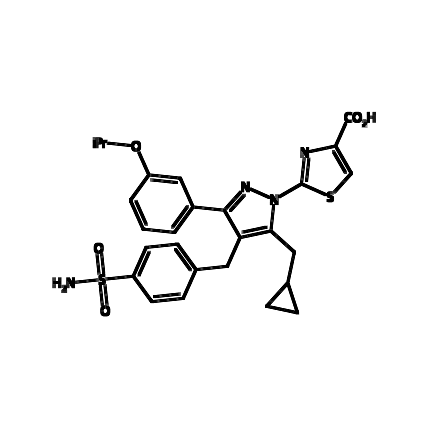 CC(C)Oc1cccc(-c2nn(-c3nc(C(=O)O)cs3)c(CC3CC3)c2Cc2ccc(S(N)(=O)=O)cc2)c1